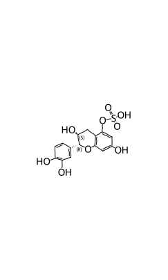 O=S(=O)(O)Oc1cc(O)cc2c1C[C@H](O)[C@@H](c1ccc(O)c(O)c1)O2